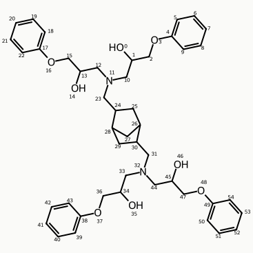 OC(COc1ccccc1)CN(CC(O)COc1ccccc1)CC1CC2CC1CC2CN(CC(O)COc1ccccc1)CC(O)COc1ccccc1